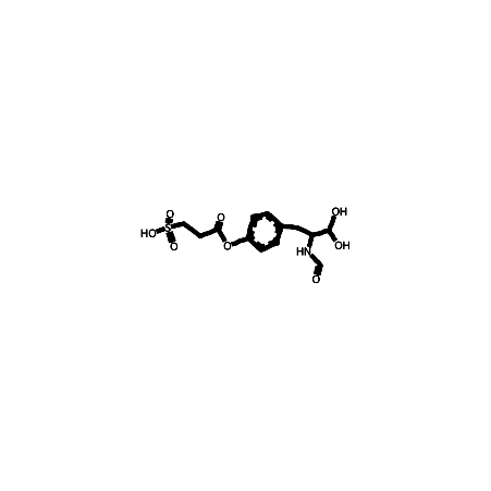 O=CNC(Cc1ccc(OC(=O)CCS(=O)(=O)O)cc1)C(O)O